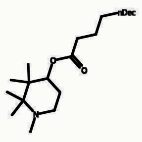 CCCCCCCCCCCCCC(=O)OC1CCN(C)C(C)(C)C1(C)C